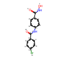 O=C(NO)c1ccc(NC(=O)c2ccc(Br)cc2)cc1